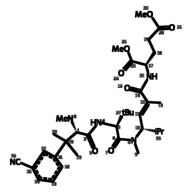 CN[C@H](C(=O)N[C@H](C(=O)N(C)[C@H](/C=C(\C)C(=O)N[C@H](CCC(=O)OC)C(=O)OC)C(C)C)C(C)(C)C)C(C)(C)c1cccc(C#N)c1